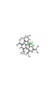 Cc1cc(C)cc([Si](Cl)(c2cc(C(C)C)cc(C(C)C)c2)c2cc(C(C)C)cc(C(C)C)c2)c1